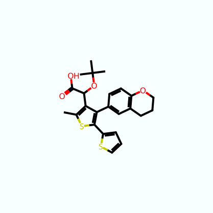 Cc1sc(-c2cccs2)c(-c2ccc3c(c2)CCCO3)c1C(OC(C)(C)C)C(=O)O